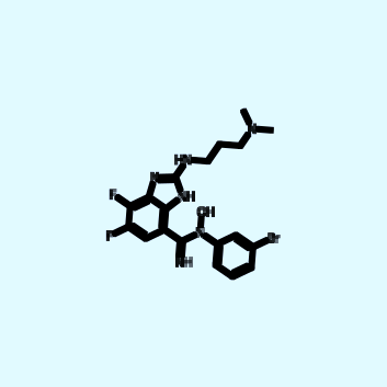 CN(C)CCCNc1nc2c(F)c(F)cc(C(=N)N(O)c3cccc(Br)c3)c2[nH]1